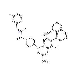 C#Cc1cccc2cccc(-c3ncc4c(N5CCN(C(=O)/C(F)=C/c6cncc(C)n6)CC5)nc(OC)nc4c3F)c12